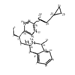 CC[C@H](CCCc1ccccc1C(C)N)c1cnc(SCC2CC2)cn1